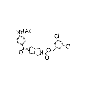 CC(=O)Nc1ccc(C(=O)N2CC3CN(C(=O)OCc4cc(Cl)cc(Cl)c4)CC3C2)cc1